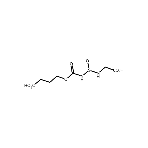 O=C(O)CCCOC(=O)N[S+]([O-])NCC(=O)O